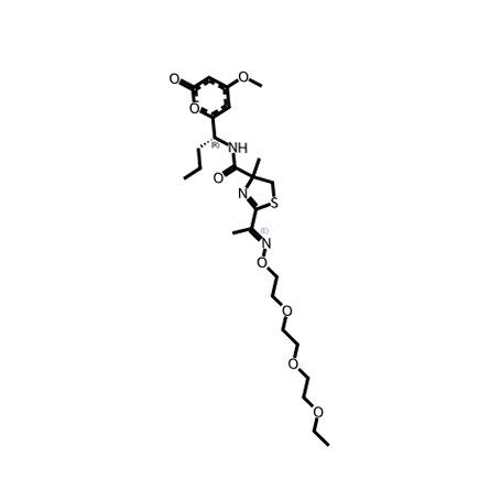 CCC[C@@H](NC(=O)C1(C)CSC(/C(C)=N/OCCOCCOCCOCC)=N1)c1cc(OC)cc(=O)o1